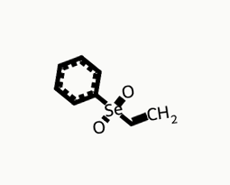 C=C[Se](=O)(=O)c1ccccc1